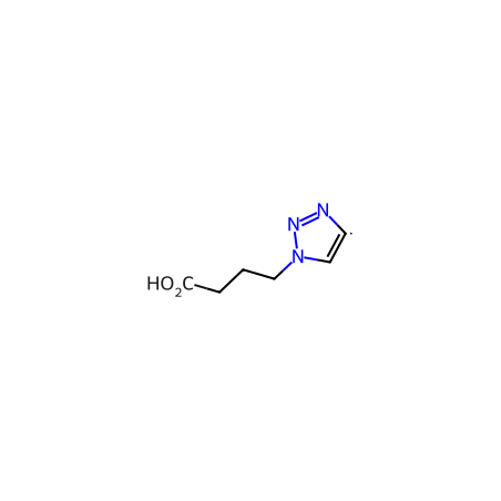 O=C(O)CCCn1c[c]nn1